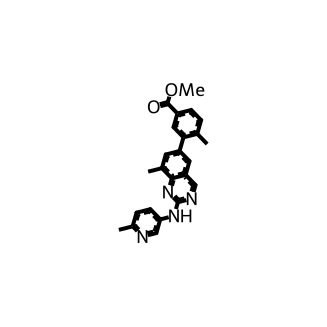 COC(=O)c1ccc(C)c(-c2cc(C)c3nc(Nc4ccc(C)nc4)ncc3c2)c1